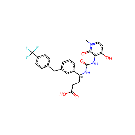 Cn1ccc(O)c(NC(=O)N[C@@H](CCC(=O)O)c2cccc(Cc3ccc(C(F)(F)F)cc3)c2)c1=O